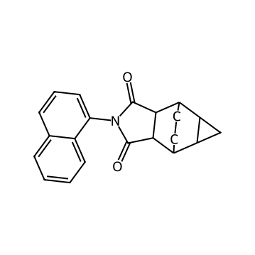 O=C1C2C3CCC(C4CC43)C2C(=O)N1c1cccc2ccccc12